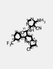 C[C@](O)(Nc1ncnc(N)c1C#N)c1cc2ncc(Cl)n2nc1-c1cccc(C(F)(F)F)c1